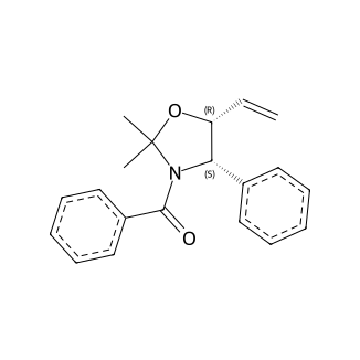 C=C[C@H]1OC(C)(C)N(C(=O)c2ccccc2)[C@H]1c1ccccc1